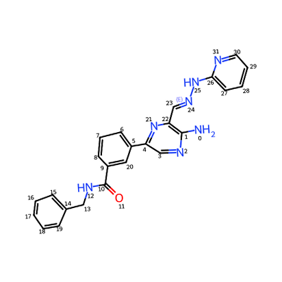 Nc1ncc(-c2cccc(C(=O)NCc3ccccc3)c2)nc1/C=N/Nc1ccccn1